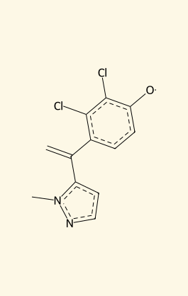 C=C(c1ccc([O])c(Cl)c1Cl)c1ccnn1C